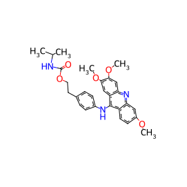 COc1ccc2c(Nc3ccc(CCOC(=O)NC(C)C)cc3)c3cc(OC)c(OC)cc3nc2c1